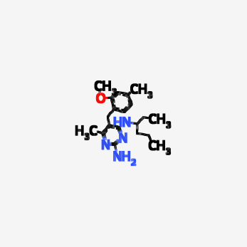 CCCC(CC)Nc1nc(N)nc(C)c1Cc1ccc(C)cc1OC